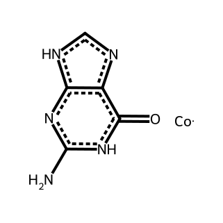 Nc1nc2[nH]cnc2c(=O)[nH]1.[Co]